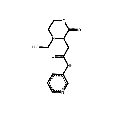 CCN1CCOC(=O)C1CC(=O)Nc1cccnc1